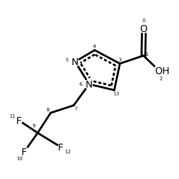 O=C(O)c1cnn(CCC(F)(F)F)c1